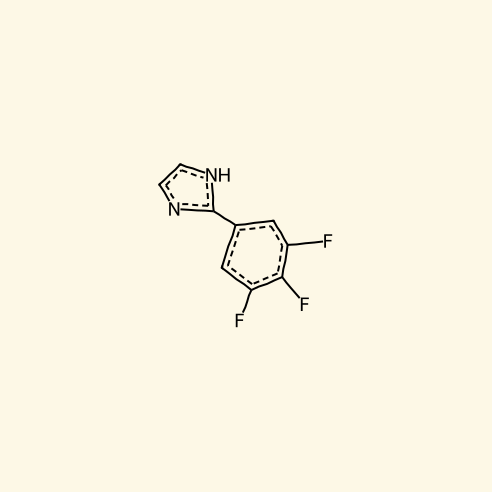 Fc1cc(-c2ncc[nH]2)cc(F)c1F